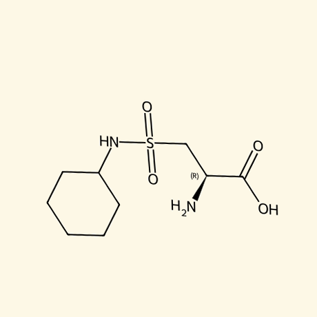 N[C@@H](CS(=O)(=O)NC1CCCCC1)C(=O)O